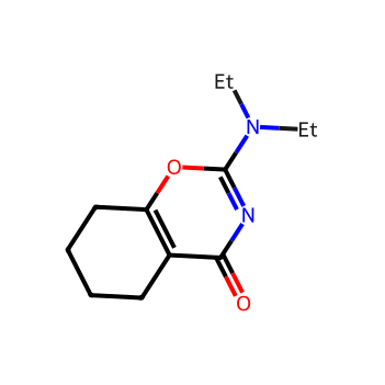 CCN(CC)c1nc(=O)c2c(o1)CCCC2